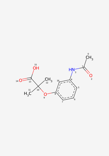 CC(=O)Nc1cccc(OC(C)(C)C(=O)O)c1